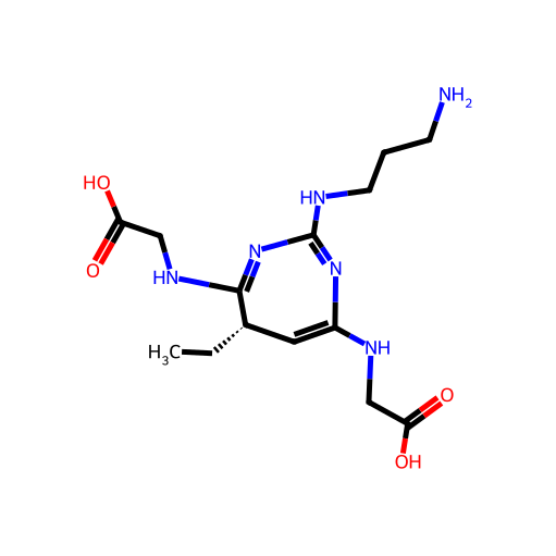 CC[C@H]1C=C(NCC(=O)O)N=C(NCCCN)N=C1NCC(=O)O